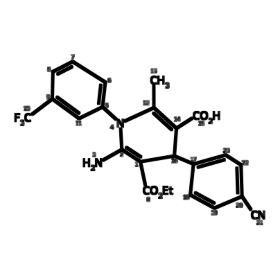 CCOC(=O)C1=C(N)N(c2cccc(C(F)(F)F)c2)C(C)=C(C(=O)O)C1c1ccc(C#N)cc1